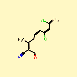 C=C(Cl)/C=C(Cl)\C=C/C/C(C)=C(/C#N)C=O